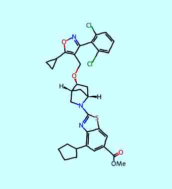 COC(=O)c1cc(C2CCCC2)c2nc(N3C[C@H]4C[C@@H]3C[C@@H]4OCc3c(-c4c(Cl)cccc4Cl)noc3C3CC3)sc2c1